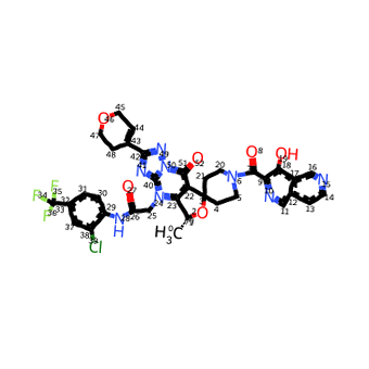 C[C@H]1OC2(CCN(C(=O)c3ncc4ccncc4c3O)CC2)c2c1n(CC(=O)Nc1ccc(C(F)(F)F)cc1Cl)c1nc(C3=CCOCC3)nn1c2=O